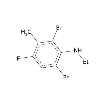 CCNc1c(Br)cc(F)c(C)c1Br